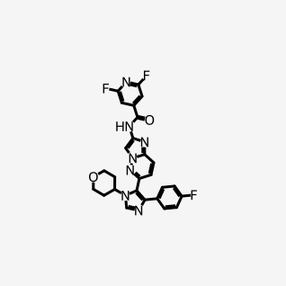 O=C(Nc1cn2nc(-c3c(-c4ccc(F)cc4)ncn3C3CCOCC3)ccc2n1)c1cc(F)nc(F)c1